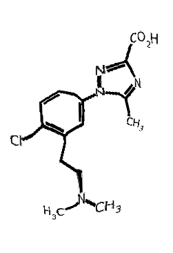 Cc1nc(C(=O)O)nn1-c1ccc(Cl)c(CCN(C)C)c1